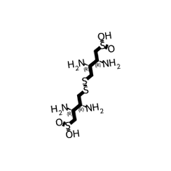 N[C@@H](CSSC[C@H](N)[C@@H](N)CS(=O)O)[C@@H](N)CS(=O)O